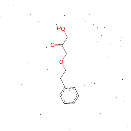 O=C(CO)COCCc1ccccc1